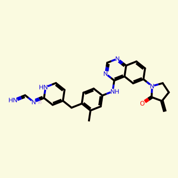 C=C1CCN(c2ccc3ncnc(Nc4ccc(Cc5cc[nH]/c(=N\C=N)c5)c(C)c4)c3c2)C1=O